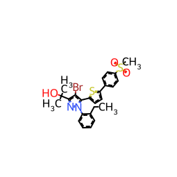 CCc1ccccc1-n1nc(C(C)(C)O)c(Br)c1-c1ccc(-c2ccc(S(C)(=O)=O)cc2)s1